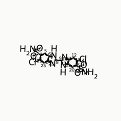 NS(=O)(=O)c1cc2[nH]c(-c3nc4cc(Cl)c(S(N)(=O)=O)cc4[nH]3)nc2cc1Cl